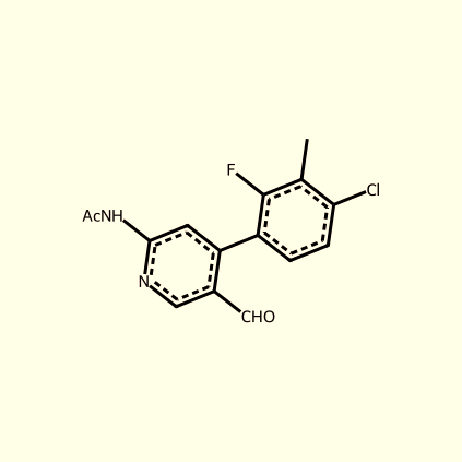 CC(=O)Nc1cc(-c2ccc(Cl)c(C)c2F)c(C=O)cn1